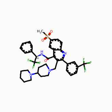 CS(=O)(=O)c1ccc2nc(-c3cccc(C(F)(F)F)c3)c(CN3CCC(N4CCCCC4)CC3)c(C(=O)N[C@H](c3ccccc3)C(F)(F)F)c2c1